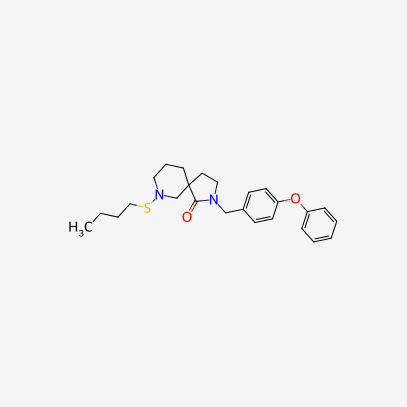 CCCCSN1CCCC2(CCN(Cc3ccc(Oc4ccccc4)cc3)C2=O)C1